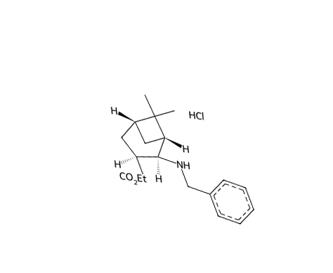 CCOC(=O)[C@H]1C[C@H]2C[C@@H]([C@H]1NCc1ccccc1)C2(C)C.Cl